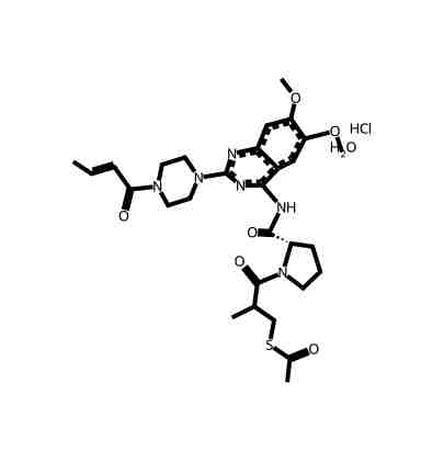 C/C=C/C(=O)N1CCN(c2nc(NC(=O)[C@@H]3CCCN3C(=O)C(C)CSC(C)=O)c3cc(OC)c(OC)cc3n2)CC1.Cl.O